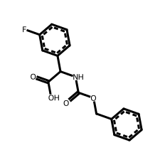 O=C(NC(C(=O)O)c1cccc(F)c1)OCc1ccccc1